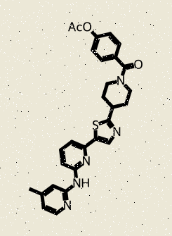 CC(=O)Oc1ccc(C(=O)N2CCC(c3ncc(-c4cccc(Nc5cc(C)ccn5)n4)s3)CC2)cc1